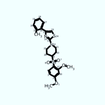 COc1ccc(S(=O)(=O)C2CCN(c3nc(-c4ccccc4C)cs3)CC2)c(OC)c1